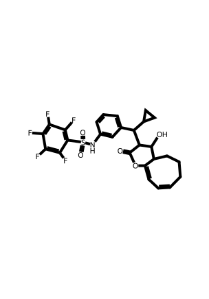 O=C1OC2=CC=CCCCC2C(O)C1C(c1cccc(NS(=O)(=O)c2c(F)c(F)c(F)c(F)c2F)c1)C1CC1